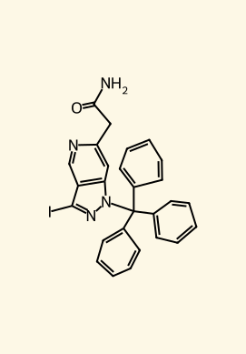 NC(=O)Cc1cc2c(cn1)c(I)nn2C(c1ccccc1)(c1ccccc1)c1ccccc1